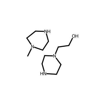 CN1CCNCC1.OCCN1CCNCC1